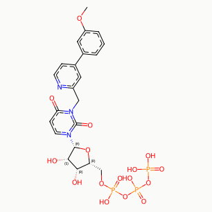 COc1cccc(-c2ccnc(Cn3c(=O)ccn([C@@H]4O[C@H](COP(=O)(O)OP(=O)(O)OP(=O)(O)O)[C@H](O)[C@@H]4O)c3=O)c2)c1